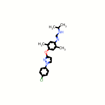 Cc1cc(Oc2ccn(-c3ccc(Cl)cc3)n2)c(C)cc1/N=C/NC(C)C